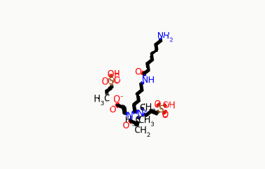 C=C(C)C(=O)N(C=CC(=O)[O-])C(CCCCCNC(=O)CCCCCCCN)[N+](C)(C)CCCS(=O)(=O)O.CCCS(=O)(=O)O